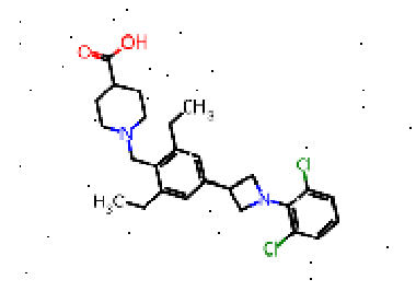 CCc1cc(C2CN(c3c(Cl)cccc3Cl)C2)cc(CC)c1CN1CCC(C(=O)O)CC1